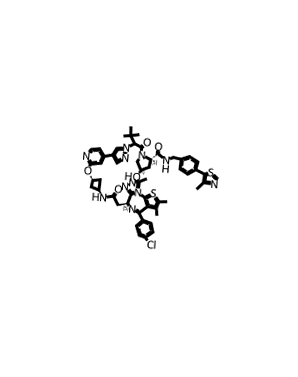 Cc1ncsc1-c1ccc(CNC(=O)[C@@H]2C[C@@H](O)CN2C(=O)C(n2cc(-c3ccnc(O[C@H]4C[C@H](NC(=O)C[C@@H]5N=C(c6ccc(Cl)cc6)c6c(sc(C)c6C)-n6c(C)nnc65)C4)c3)cn2)C(C)(C)C)cc1